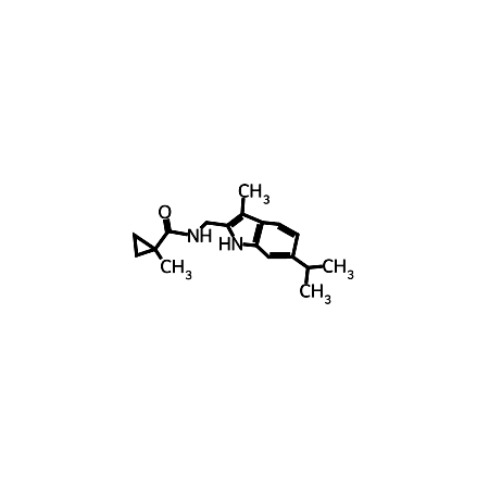 Cc1c(CNC(=O)C2(C)CC2)[nH]c2cc(C(C)C)ccc12